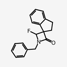 O=C1N(Cc2ccccc2)C(F)C12CCc1ccccc12